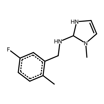 Cc1ccc(F)cc1CNC1NC=CN1C